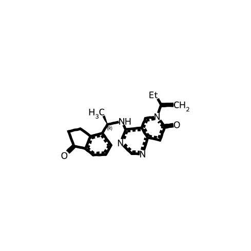 C=C(CC)n1cc2c(N[C@H](C)c3cccc4c3CCC4=O)ncnc2cc1=O